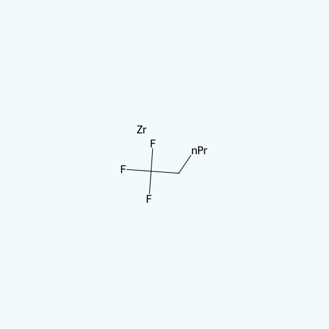 CCCCC(F)(F)F.[Zr]